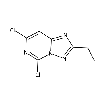 CCc1nc2cc(Cl)nc(Cl)n2n1